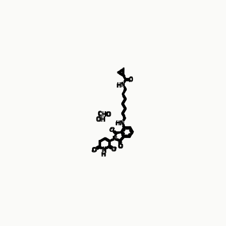 O=C1CCC(N2C(=O)c3cccc(NCCCCCCCNC(=O)C4CC4)c3C2=O)C(=O)N1.O=CO